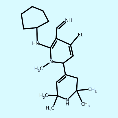 CCC1=CC(C2=CC(C)(C)NC(C)(C)C2)N(C)C(NC2CCCCC2)=C1C=N